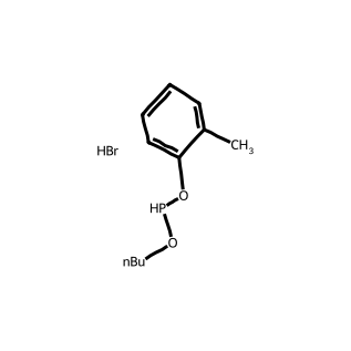 Br.CCCCOPOc1ccccc1C